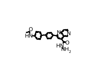 CC(=O)Nc1ccc(-c2ccc(-c3cc(C(=O)NN)c4cnccc4n3)cc2)cc1